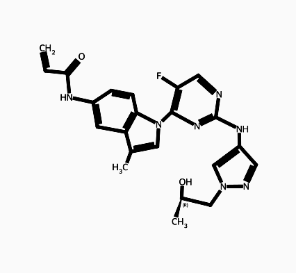 C=CC(=O)Nc1ccc2c(c1)c(C)cn2-c1nc(Nc2cnn(C[C@@H](C)O)c2)ncc1F